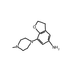 CN1CCN(c2cc(N)cc3c2OCC3)CC1